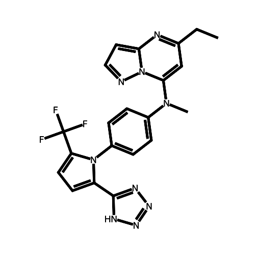 CCc1cc(N(C)c2ccc(-n3c(-c4nnn[nH]4)ccc3C(F)(F)F)cc2)n2nccc2n1